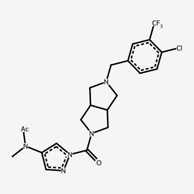 CC(=O)N(C)c1cnn(C(=O)N2CC3CN(Cc4ccc(Cl)c(C(F)(F)F)c4)CC3C2)c1